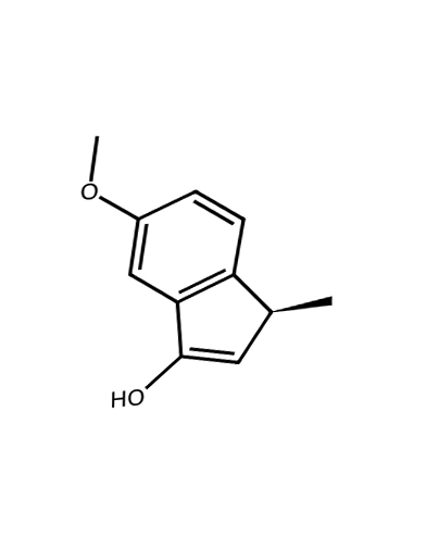 COc1ccc2c(c1)C(O)=C[C@@H]2C